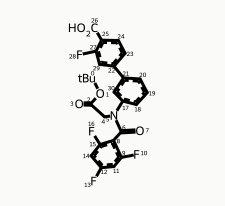 CC(C)(C)OC(=O)CN(C(=O)c1c(F)cc(F)cc1F)c1cccc(-c2ccc(C(=O)O)c(F)c2)c1